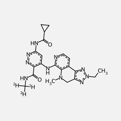 [2H]C([2H])([2H])NC(=O)c1nnc(NC(=O)C2CC2)cc1Nc1nccc2c1N(C)Cc1nn(CC)nc1-2